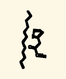 CCCCCCCCCCCC.COC(=O)Cc1cccs1